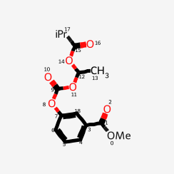 COC(=O)c1cccc(OC(=O)OC(C)OC(=O)C(C)C)c1